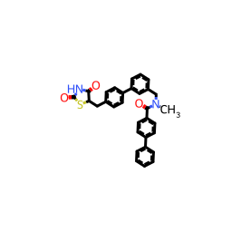 CN(Cc1cccc(-c2ccc(CC3SC(=O)NC3=O)cc2)c1)C(=O)c1ccc(-c2ccccc2)cc1